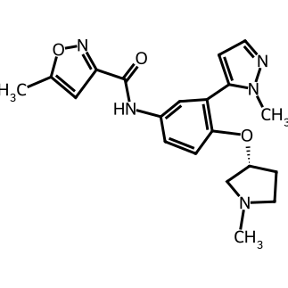 Cc1cc(C(=O)Nc2ccc(O[C@@H]3CCN(C)C3)c(-c3ccnn3C)c2)no1